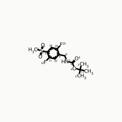 CC(C)(C)OC(=O)NCc1cc(F)c(S(C)(=O)=O)cc1F